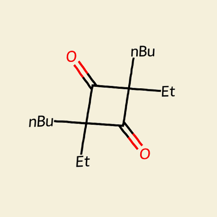 CCCCC1(CC)C(=O)C(CC)(CCCC)C1=O